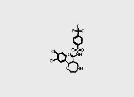 O=C(NS(=O)(=O)c1ccc(C(F)(F)F)cc1)[C@@H]1CNCCO[C@H]1c1ccc(Cl)c(Cl)c1